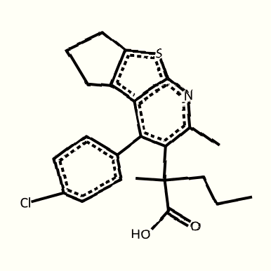 CCCC(C)(C(=O)O)c1c(C)nc2sc3c(c2c1-c1ccc(Cl)cc1)CCC3